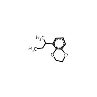 CCC(C)c1cccc2c1OCCO2